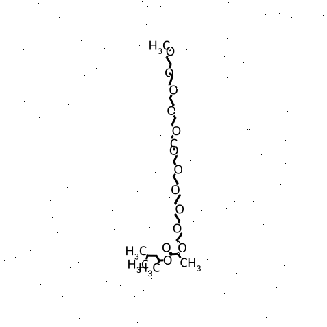 COCCOCCOCCOCCOCCOCCOCCOCCOCCOCCOC(C)C(=O)OC(C)CC(C)C